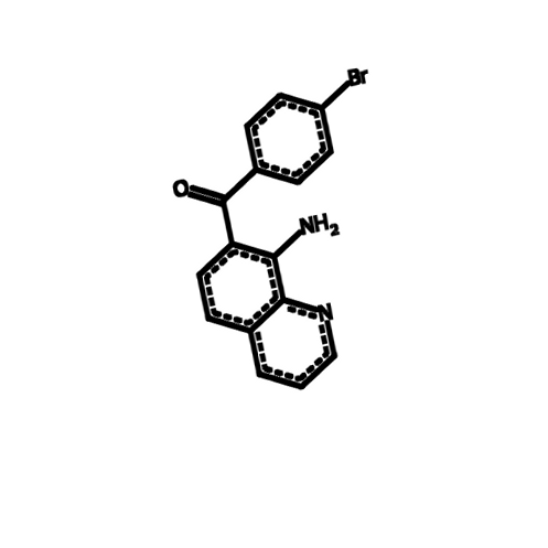 Nc1c(C(=O)c2ccc(Br)cc2)ccc2cccnc12